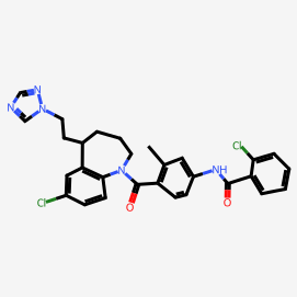 Cc1cc(NC(=O)c2ccccc2Cl)ccc1C(=O)N1CCCC(CCn2cncn2)c2cc(Cl)ccc21